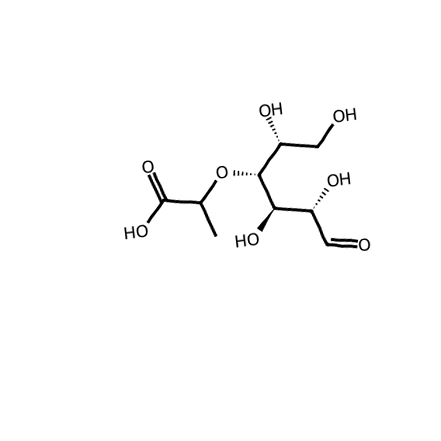 CC(O[C@@H]([C@H](O)[C@H](O)C=O)[C@H](O)CO)C(=O)O